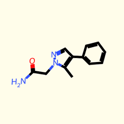 Cc1c(-c2ccccc2)cnn1CC(N)=O